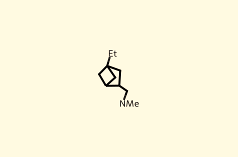 CCC12CC(CNC)C(C1)C2